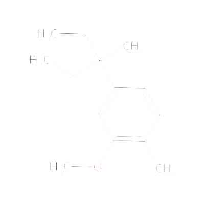 CCC(C)(CC)c1ccc(C)c(OC)c1